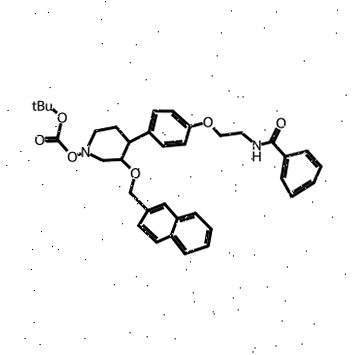 CC(C)(C)OC(=O)ON1CCC(c2ccc(OCCNC(=O)c3ccccc3)cc2)C(OCc2ccc3ccccc3c2)C1